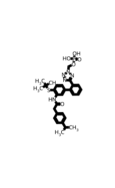 CC(C)c1ccc(CC(=O)Nc2cc(-c3ccccc3-c3nnn(COP(=O)(O)O)n3)ccc2SC(C)(C)C)cc1